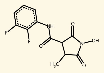 CC1C(=O)N(O)C(=O)C1C(=O)Nc1cccc(F)c1F